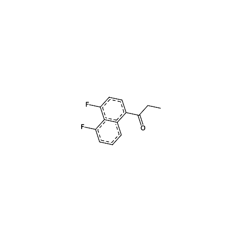 CCC(=O)c1ccc(F)c2c(F)cccc12